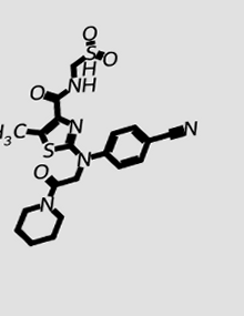 Cc1sc(N(CC(=O)N2CCCCC2)c2ccc(C#N)cc2)nc1C(=O)NC[SH](=O)=O